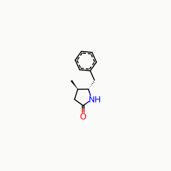 C[C@@H]1CC(=O)N[C@H]1Cc1ccccc1